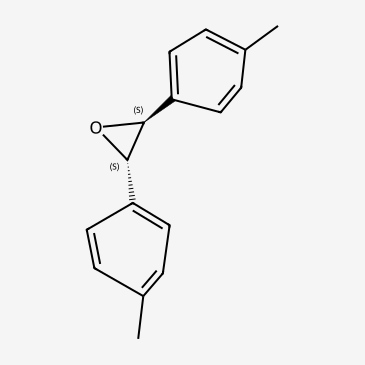 Cc1ccc([C@@H]2O[C@H]2c2ccc(C)cc2)cc1